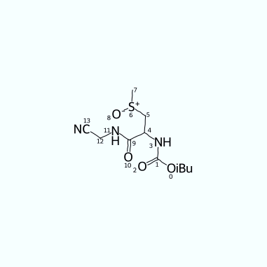 CC(C)COC(=O)NC(C[S+](C)[O-])C(=O)NCC#N